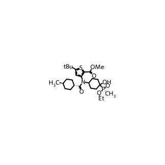 CCOP(C)(=O)C1(O)CCC(N(c2cc(C(C)(C)C)sc2C(=O)OC)C(=O)[C@H]2CC[C@H](C)CC2)CC1